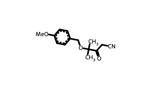 COc1ccc(COC(C)(C)C(=O)CC#N)cc1